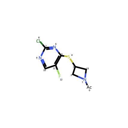 CC(=O)N1CC(Sc2nc(Cl)ncc2F)C1